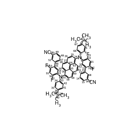 C[Si](C)(C)c1ccc(N(c2cc(-c3cccc(C#N)c3)c(F)cc2F)c2ccc3ccc4c(N(c5ccc([Si](C)(C)C)cc5)c5cc(-c6cccc(C#N)c6)c(F)cc5F)ccc5ccc2c3c54)cc1